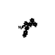 CCCC1CN=CC2c3cc(N(c4ccccc4)c4ccccc4)ccc3N(c3ccc(-c4ccc(C(F)(F)F)cc4)cc3)C12